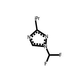 CC(C)c1ncn(C(F)F)n1